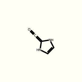 O=C=C1NC=CN1